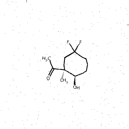 CC(=O)[C@@]1(C)CC(F)(F)CC[C@H]1O